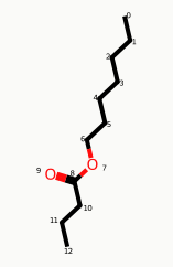 CCCCCCCOC(=O)CCC